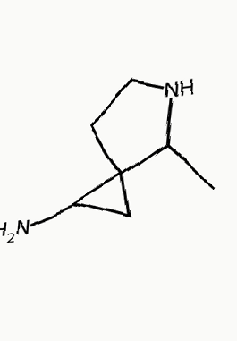 CC1NCCC12CC2N